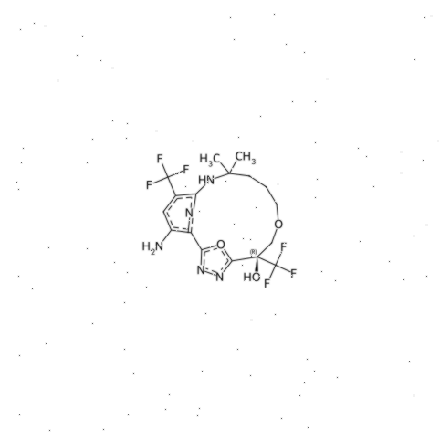 CC1(C)CCCOC[C@](O)(C(F)(F)F)c2nnc(o2)-c2nc(c(C(F)(F)F)cc2N)N1